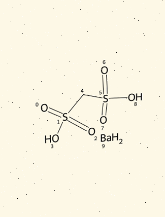 O=S(=O)(O)CS(=O)(=O)O.[BaH2]